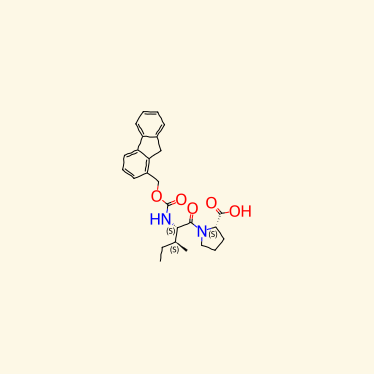 CC[C@H](C)[C@H](NC(=O)OCc1cccc2c1Cc1ccccc1-2)C(=O)N1CCC[C@H]1C(=O)O